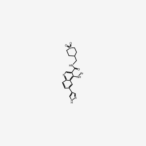 CC(C)Nc1c(C(=O)NCC2CCS(=O)(=O)CC2)cnc2ccc(-c3cn[nH]c3)cc12